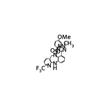 COc1ccc(S(=O)(=O)N2Cc3ccc(C(F)(F)F)nc3Nc3cccc(-c4nnn(C)n4)c32)cc1